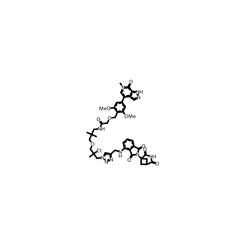 CCC(C)(COCC(C)(C)CNC(=O)COCc1c(OC)cc(-c2cn(C)c(=O)c3[nH]ncc23)cc1OC)Cn1cc(CNc2cccc3c2C(=O)N(C24CC(C2)C(=O)NC4=O)C3=O)nn1